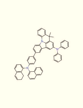 CC1(C)c2ccccc2-n2c3ccc(-c4ccc(N(c5cccc6c5CCC=C6)c5cccc6ccccc56)cc4)cc3c3cc(N(c4ccccc4)c4ccccc4)cc1c32